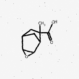 CC1(C(=O)O)CC2CC1C1OC21